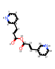 O=C(/C=C/c1cccnc1)OC(=O)/C=C/c1cccnc1